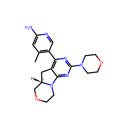 Cc1cc(N)ncc1-c1nc(N2CCOCC2)nc2c1C[C@H]1COCCN21